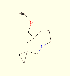 CC(C)(C)OCC12CCCN1CC1(CC1)C2